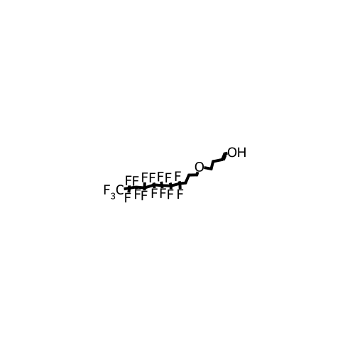 OC=CCCOCCCC(F)(F)C(F)(F)C(F)(F)C(F)(F)C(F)(F)C(F)(F)C(F)(F)C(F)(F)F